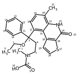 CCOC(CCN(C)C(=O)O)(c1ccccc1)c1ccc(C)c2[nH]c(=O)c3sccc3c12